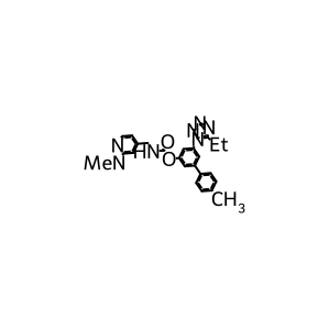 CCc1nnnn1-c1cc(OC(=O)NCc2ccnc(NC)c2)cc(-c2ccc(C)cc2)c1